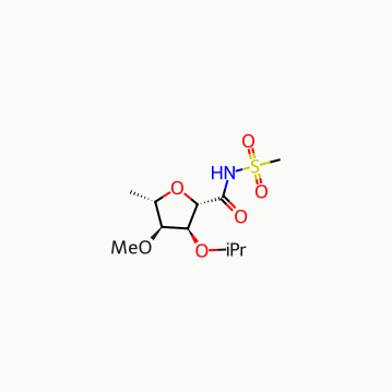 CO[C@@H]1[C@H](OC(C)C)[C@@H](C(=O)NS(C)(=O)=O)O[C@H]1C